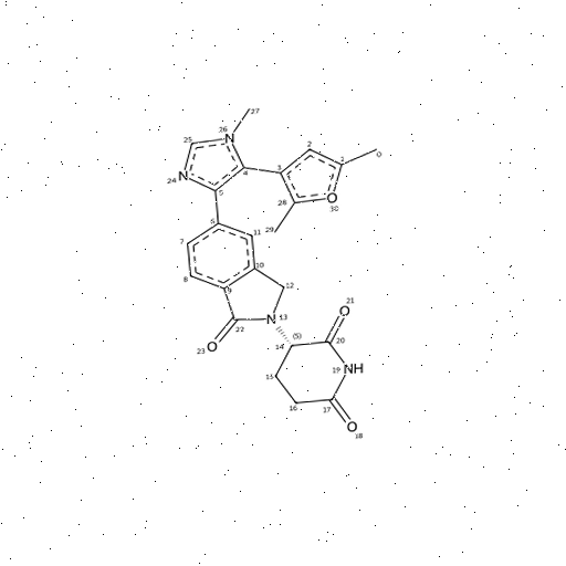 Cc1cc(-c2c(-c3ccc4c(c3)CN([C@H]3CCC(=O)NC3=O)C4=O)ncn2C)c(C)o1